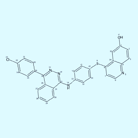 Oc1ccc2nccc(Sc3ccc(Nc4nnc(-c5ccc(Cl)cc5)c5ccccc45)cc3)c2c1